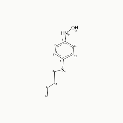 CCCCSc1ccc(NO)cc1